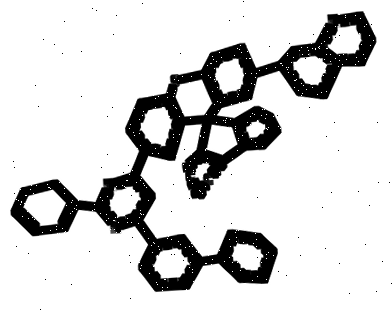 C1=CCCC(c2nc(-c3cccc(-c4ccccc4)c3)cc(-c3ccc4c(c3)C3(c5cc(-c6ccc7cccnc7c6)ccc5S4)c4ccccc4-c4ccccc43)n2)=C1